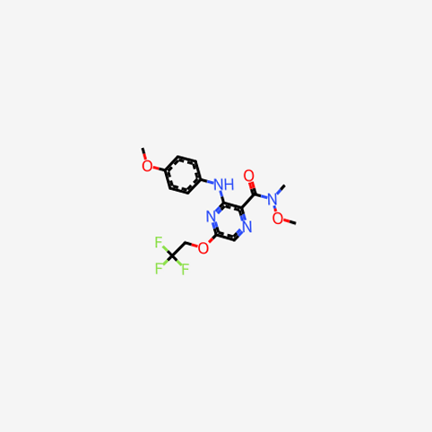 COc1ccc(Nc2nc(OCC(F)(F)F)cnc2C(=O)N(C)OC)cc1